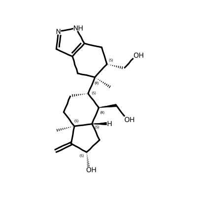 C=C1[C@@H](O)C[C@H]2[C@H](CO)[C@@H]([C@@]3(C)Cc4cn[nH]c4C[C@@H]3CO)CC[C@]12C